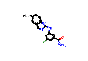 Cc1ccc2nc(Nc3cc(F)cc(C(N)=O)c3)ncc2c1